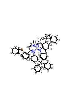 CC1c2c(c3ccc(C4(c5ccccc5)c5ccccc5-c5ccccc54)cc3n2C/N=C(\C=C/N)c2cccc3c2sc2ccccc23)C=C2c3ccccc3C(C)(C)C21